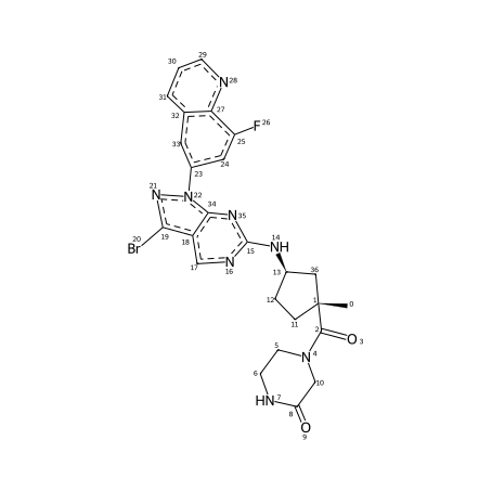 C[C@@]1(C(=O)N2CCNC(=O)C2)CC[C@@H](Nc2ncc3c(Br)nn(-c4cc(F)c5ncccc5c4)c3n2)C1